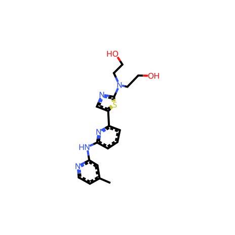 Cc1ccnc(Nc2cccc(-c3cnc(N(CCO)CCO)s3)n2)c1